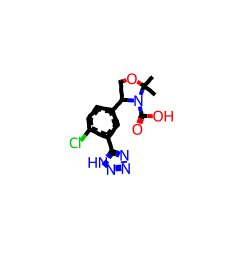 CC1(C)OCC(c2ccc(Cl)c(-c3nnn[nH]3)c2)N1C(=O)O